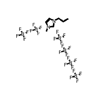 CCCN1C=CN(C)C1.F[B-](F)(F)F.F[B-](F)(F)F.F[B-](F)(F)F.F[B-](F)(F)F.F[B-](F)(F)F.F[B-](F)(F)F